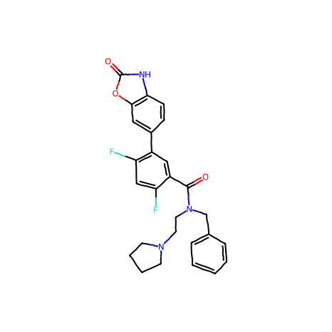 O=C(c1cc(-c2ccc3[nH]c(=O)oc3c2)c(F)cc1F)N(CCN1CCCC1)Cc1ccccc1